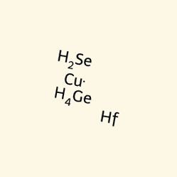 [Cu].[GeH4].[Hf].[SeH2]